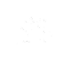 O=C(O)N1CCCN(c2cncc(-n3ncc4cnc(-c5cnn(CC(F)(F)F)c5)cc43)n2)CC1